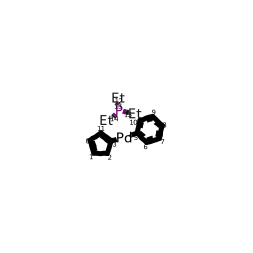 C1=CC[C]([Pd][c]2ccccc2)=C1.CCP(CC)CC